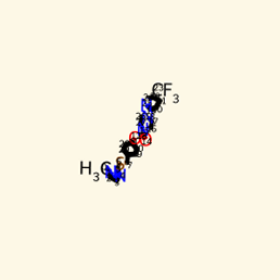 Cn1ccnc1SCc1ccc(OC(=O)N2CCN(c3ccc(C(F)(F)F)cn3)CC2)cc1